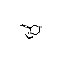 C=CC.O=C=C1CNCCN1